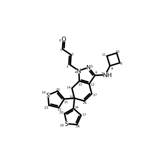 O=CC=Cn1nc(NC2CCC2)c2c1CC(c1ccsc1)(c1ccsc1)C=C2